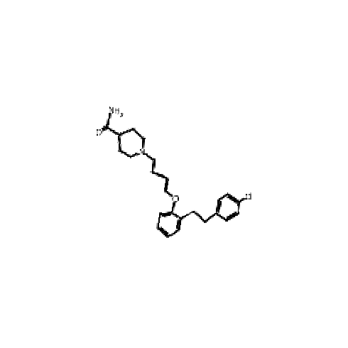 NC(=O)C1CCN(CCCCOc2ccccc2CCc2ccc(Cl)cc2)CC1